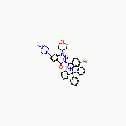 CC(=O)N(c1cc(N2CCN(C)CC2)ccc1C(=O)Nc1nn(C(c2ccccc2)(c2ccccc2)c2ccccc2)c2cc(Br)ccc12)C1CCOCC1